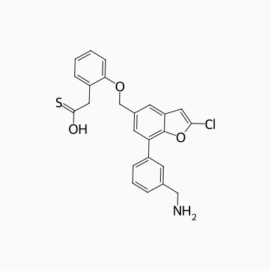 NCc1cccc(-c2cc(COc3ccccc3CC(O)=S)cc3cc(Cl)oc23)c1